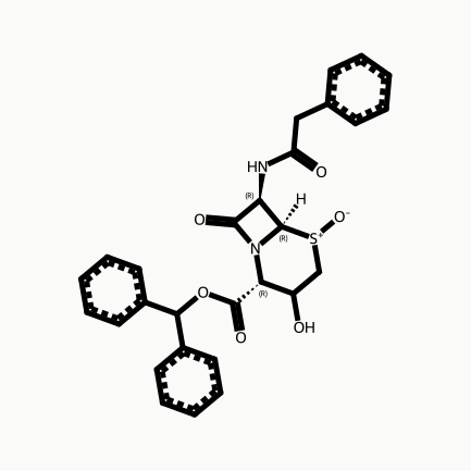 O=C(Cc1ccccc1)N[C@@H]1C(=O)N2[C@@H]1[S+]([O-])CC(O)[C@@H]2C(=O)OC(c1ccccc1)c1ccccc1